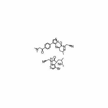 CC(C)CC(=Nc1nscc1-c1ccc(C(=O)CN(C)C)cc1)C(=O)NCC#N.CC(C)C[C@](N)(C(=O)NCC#N)c1nscc1Br